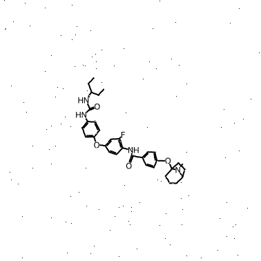 CCC(CC)NC(=O)Nc1ccc(Oc2ccc(NC(=O)c3ccc(OC45CCCC(CC4)N5C)cc3)c(F)c2)cc1